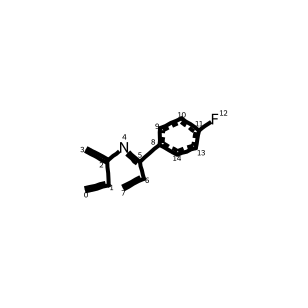 C=CC(=C)/N=C(\C=C)c1ccc(F)cc1